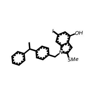 CSc1cc2c(O)cc(I)cc2n1Cc1ccc(C(C)c2ccccc2)cc1